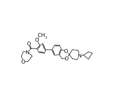 COc1cc(-c2ccc3c(c2)COC2(CCN(C4CCC4)CC2)O3)ccc1C(=O)N1CCOCC1